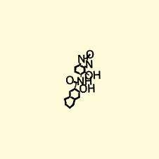 O=C1N=c2ccc(NC(=O)c3cc4ccccc4cc3O)c(O)c2=N1